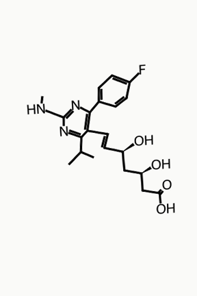 CNc1nc(-c2ccc(F)cc2)c(/C=C/[C@@H](O)C[C@@H](O)CC(=O)O)c(C(C)C)n1